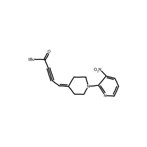 CC(C)(C)C(=O)C#CC=C1CCN(c2ncccc2[N+](=O)[O-])CC1